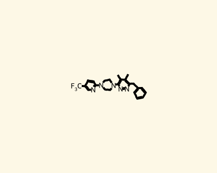 Cc1c(Cc2ccccc2)nnc(N2CCN(c3ccc(C(F)(F)F)cn3)CC2)c1C